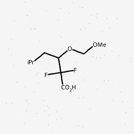 COCOC(CC(C)C)C(F)(F)C(=O)O